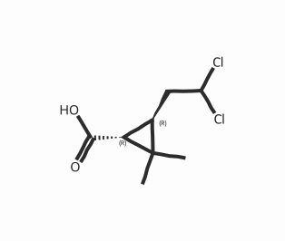 CC1(C)[C@H](CC(Cl)Cl)[C@H]1C(=O)O